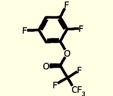 O=C(Oc1cc(F)cc(F)c1F)C(F)(F)C(F)(F)F